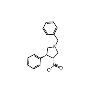 O=[N+]([O-])[C@H]1CN(Cc2ccccc2)C[C@@H]1c1ccccc1